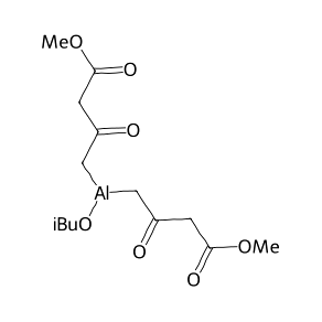 COC(=O)CC(=O)[CH2][Al]([CH2]C(=O)CC(=O)OC)[O]CC(C)C